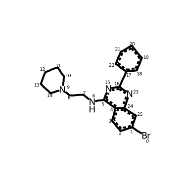 Brc1ccc2c(NCCN3CCCCC3)nc(-c3ccccc3)nc2c1